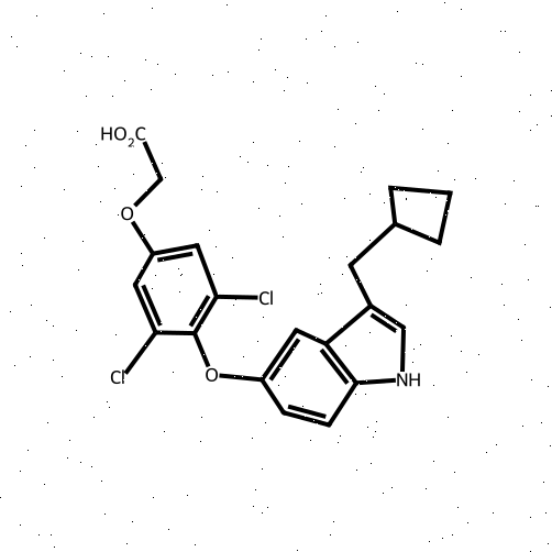 O=C(O)COc1cc(Cl)c(Oc2ccc3[nH]cc(CC4CCC4)c3c2)c(Cl)c1